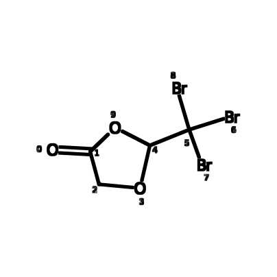 O=C1COC(C(Br)(Br)Br)O1